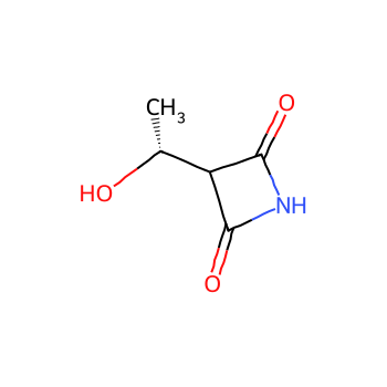 C[C@@H](O)C1C(=O)NC1=O